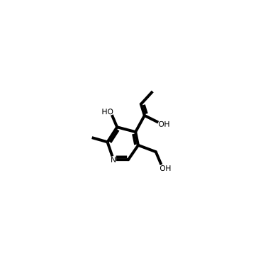 CC=C(O)c1c(CO)cnc(C)c1O